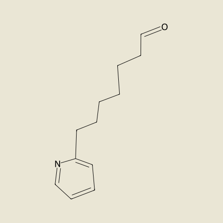 O=CCCCCCCc1ccccn1